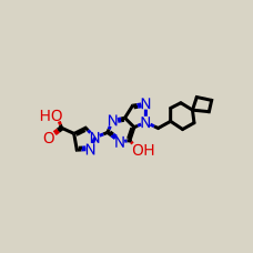 O=C(O)c1cnn(-c2nc(O)c3c(cnn3CC3CCC4(CCC4)CC3)n2)c1